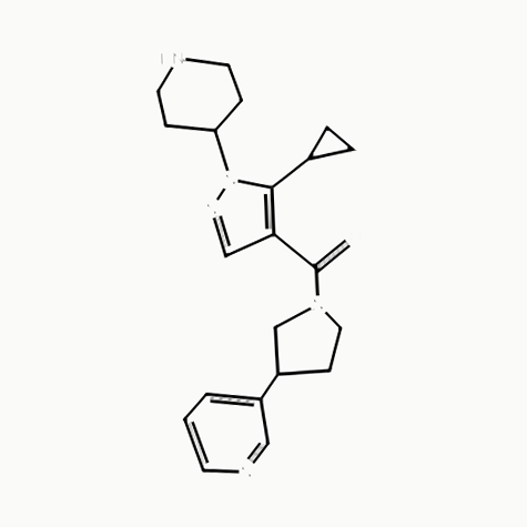 O=C(c1cnn(C2CCNCC2)c1C1CC1)N1CCC(c2cccnc2)C1